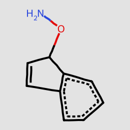 NOC1C=Cc2ccccc21